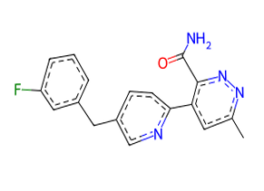 Cc1cc(-c2ccc(Cc3cccc(F)c3)cn2)c(C(N)=O)nn1